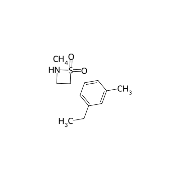 C.CCc1cccc(C)c1.O=S1(=O)CCN1